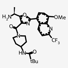 COc1ccc(-c2nc(C(=O)N3CCC(NC(=O)C(C)(C)C)CC3)c([C@H](C)N)o2)c2ccc(C(F)(F)F)nc12